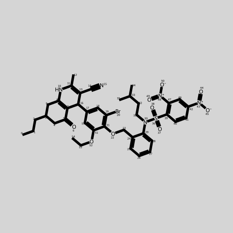 CCCC1CC(=O)C2=C(C1)NC(C)=C(C#N)C2c1cc(Br)c(OCc2ccccc2N(CCC(C)C)S(=O)(=O)c2ccc([N+](=O)[O-])cc2[N+](=O)[O-])c(OCC)c1